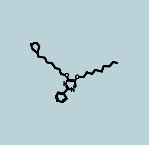 CCCCCCCCCOc1cnc(-c2ccccc2)nc1OCCCCCCCC1CCCC1